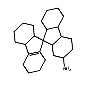 NC1CCC2C3CCCCC3C3(C4=C(CCCC4)C4CCCCC43)C2C1